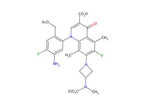 CCOC(=O)N(C)C1CN(c2c(F)c(C)c3c(=O)c(C(=O)O)cn(-c4cc(N)c(F)cc4COC(C)=O)c3c2C)C1